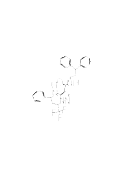 O=C(NCCC(c1ccccc1)c1ccccc1)c1cnn2c1NC(c1ccccc1)CC2C(F)(F)F